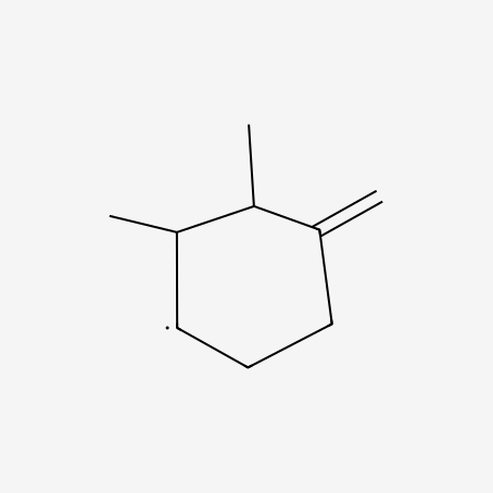 C=C1CC[CH]C(C)C1C